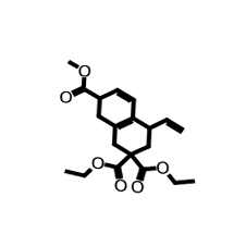 C=CC1CC(C(=O)OCC)(C(=O)OCC)CC2=C1C=CC(C(=O)OC)C2